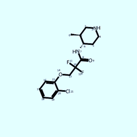 C[C@H]1CNCC[C@@H]1NC(=O)C(F)(F)COc1ccccc1Cl